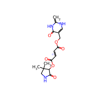 C=C1NC=C(COC(=O)/C=C/C(=O)OC2C(=O)NCC2(C)C)C(=O)N1